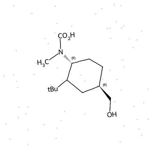 CN(C(=O)O)[C@@H]1CC[C@@H](CO)CC1C(C)(C)C